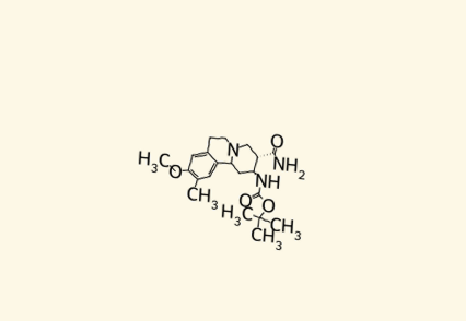 COc1cc2c(cc1C)C1C[C@H](NC(=O)OC(C)(C)C)[C@@H](C(N)=O)CN1CC2